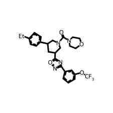 CCc1ccc(C2CC(c3nc(-c4cccc(OC(F)(F)F)c4)no3)CN(C(=O)N3CCOCC3)C2)cc1